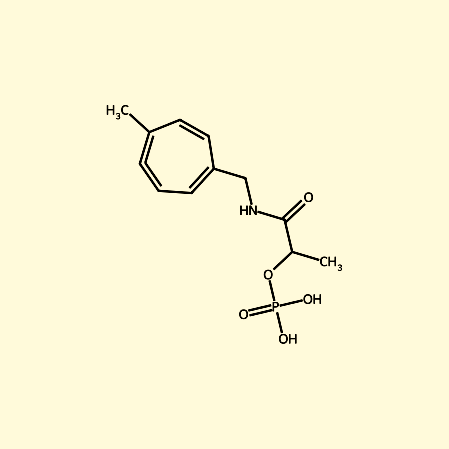 CC1=C=CC=C(CNC(=O)C(C)OP(=O)(O)O)C=C1